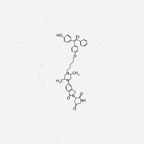 CCC(=C(c1ccc(O)cc1)c1ccc(OCCCCCN2CC(C)N(c3ccc4c(c3)CN(C3CC(=O)CNC3=O)C4=O)CC2C)cc1)c1ccccc1